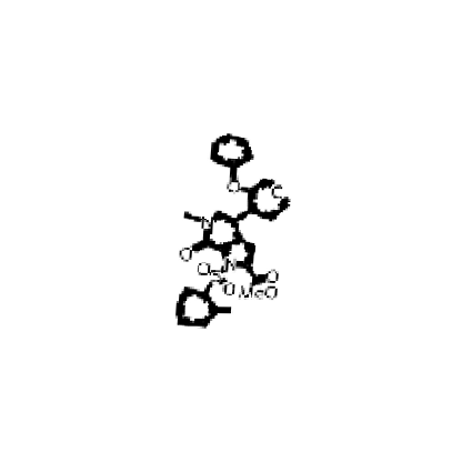 COC(=O)c1cc2c(-c3ccccc3Oc3ccccc3)cn(C)c(=O)c2n1S(=O)(=O)c1ccccc1C